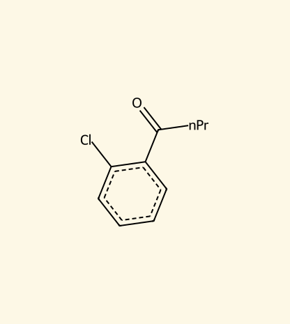 [CH2]CCC(=O)c1ccccc1Cl